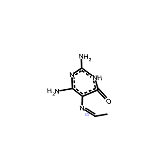 C/C=N\c1c(N)nc(N)[nH]c1=O